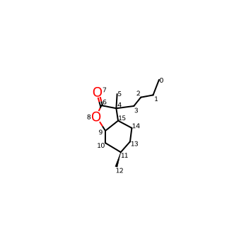 CCCCC1(C)C(=O)OC2C[C@H](C)CCC21